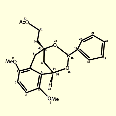 COc1ccc(OC)c2c1C[C@@]1(CCOC(C)=O)C[C@@H]2OB(c2ccccc2)O1